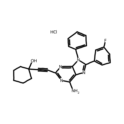 Cl.Nc1nc(C#CC2(O)CCCCC2)nc2c1nc(-c1cccc(F)c1)n2-c1ccccc1